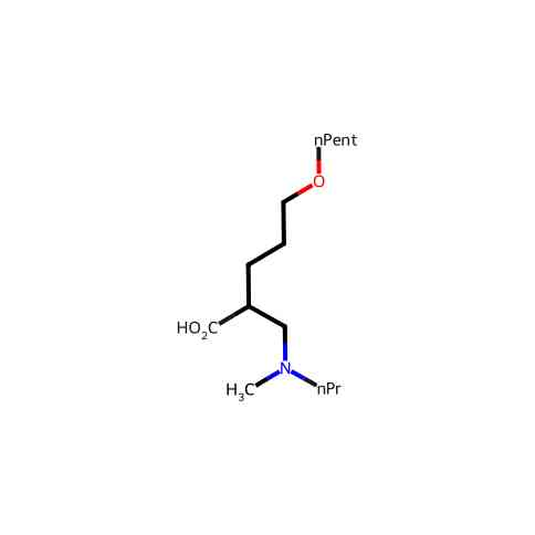 CCCCCOCCCC(CN(C)CCC)C(=O)O